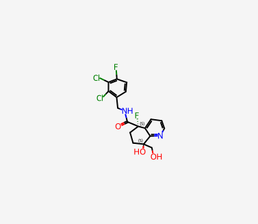 O=C(NCc1ccc(F)c(Cl)c1Cl)[C@]1(F)CC[C@@](O)(CO)c2ncccc21